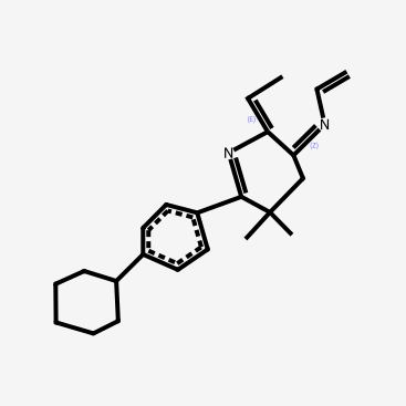 C=C/N=C1/CC(C)(C)C(c2ccc(C3CCCCC3)cc2)=N/C1=C/C